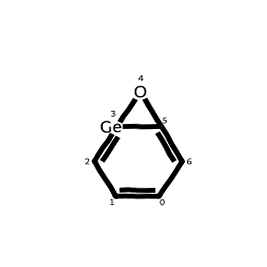 C1=C[CH]=[Ge]2[O][C]2=C1